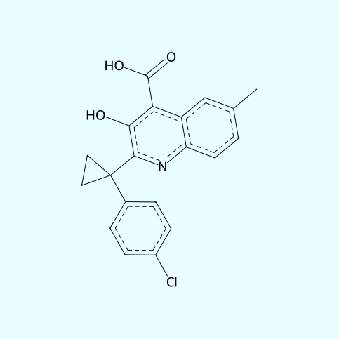 Cc1ccc2nc(C3(c4ccc(Cl)cc4)CC3)c(O)c(C(=O)O)c2c1